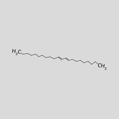 CCCCCCCCC=C/[C]=C/CCCCCCCCCC